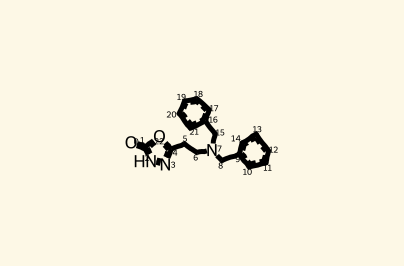 O=c1[nH]nc(CCN(Cc2ccccc2)Cc2ccccc2)o1